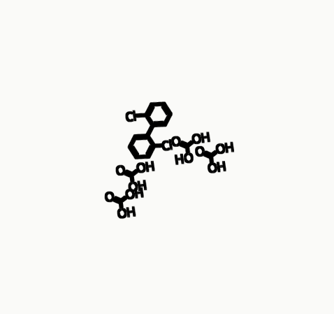 Clc1ccccc1-c1ccccc1Cl.O=C(O)O.O=C(O)O.O=C(O)O.O=C(O)O